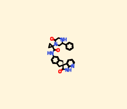 O=C1CNC(c2ccccc2)CN1C1(C(=O)Nc2ccc3c(c2)C[C@@]2(C3)C(=O)Nc3ncccc32)CC1